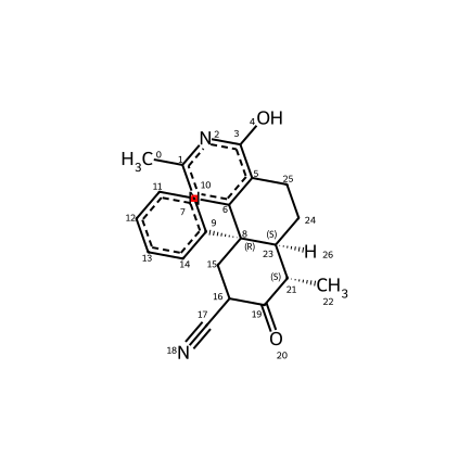 Cc1nc(O)c2c(n1)[C@]1(c3ccccc3)CC(C#N)C(=O)[C@@H](C)[C@@H]1CC2